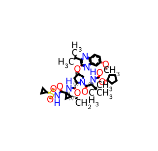 C=C[C@@H]1C[C@]1(NC(=O)[C@@H]1C[C@@H](Oc2nc3cc(OC)ccc3nc2C(C)C)CN1C(=O)[C@@H](NC(=O)OC1CCCC1)C(C)(C)C)C(=O)NS(=O)(=O)C1CC1